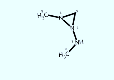 CNN1CN1C